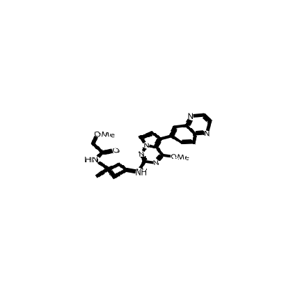 COCC(=O)NC1(C)CC(Nc2nc(OC)c3c(-c4ccc5nccnc5c4)ccn3n2)C1